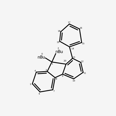 CCCCC1(CCCC)c2ccccc2-c2cccc(-c3ccccc3)c21